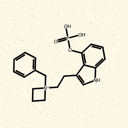 O=P(O)(O)Oc1cccc2[nH]cc(CC[N+]3(Cc4ccccc4)CCC3)c12